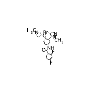 CN1CCC(Oc2ccc(NC(=O)c3ccc(F)cc3F)cc2-c2c(Br)cnn2C)C1